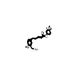 O=C(/C=C/C=C/c1ccc(O)c(CO)c1)Oc1ccc2c(c1)OCO2